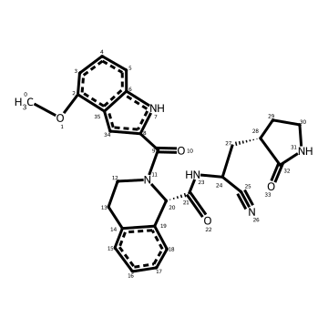 COc1cccc2[nH]c(C(=O)N3CCc4ccccc4[C@H]3C(=O)NC(C#N)C[C@@H]3CCNC3=O)cc12